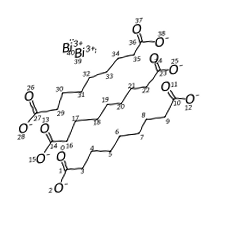 O=C([O-])CCCCCCCC(=O)[O-].O=C([O-])CCCCCCCC(=O)[O-].O=C([O-])CCCCCCCC(=O)[O-].[Bi+3].[Bi+3]